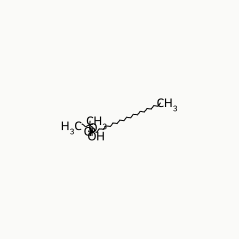 CCCCCCCCCCCCCCCCCCCCP(=O)(O)OC(C)CCC